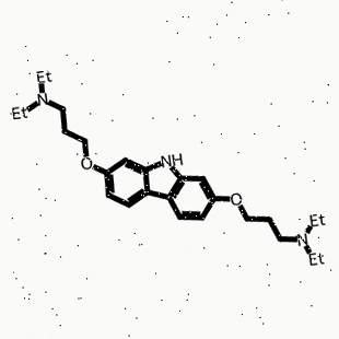 CCN(CC)CCCOc1ccc2c(c1)[nH]c1cc(OCCCN(CC)CC)ccc12